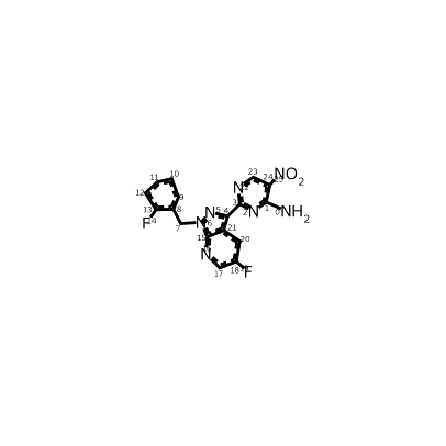 Nc1nc(-c2nn(Cc3ccccc3F)c3ncc(F)cc23)ncc1[N+](=O)[O-]